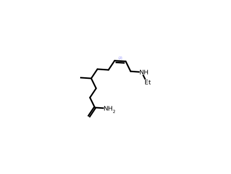 C=C(N)CCC(C)CC/C=C\CNCC